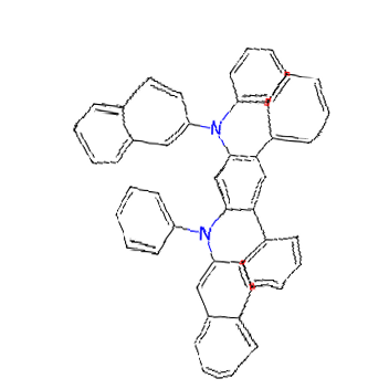 c1ccc(-c2cc(-c3ccccc3)c(N(c3ccccc3)c3ccc4ccccc4c3)cc2N(c2ccccc2)c2ccc3ccccc3c2)cc1